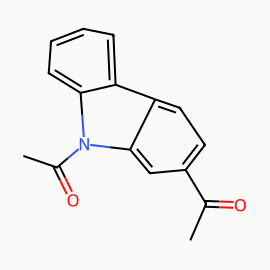 CC(=O)c1ccc2c3ccccc3n(C(C)=O)c2c1